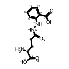 N[C@@H](CCC(=O)NNc1ccccc1C(=O)O)C(=O)O